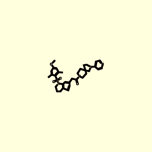 COc1cc(C)c(S(=O)(=O)N2CCCc3ccc(CC(=O)N4CCC5(CC4)CCN(c4ccncc4)C5)cc32)c(C)c1